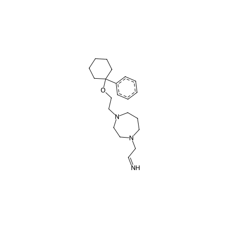 N=CCN1CCCN(CCOC2(c3ccccc3)CCCCC2)CC1